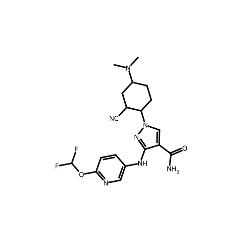 CN(C)C1CCC(n2cc(C(N)=O)c(Nc3ccc(OC(F)F)nc3)n2)C(C#N)C1